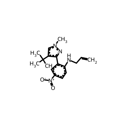 C=CCNc1ccc([N+](=O)[O-])cc1-c1nn(C)cc1C(C)(C)C